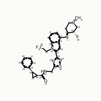 CN1CC/C(=N\c2cccc3c2cc(-c2noc(CNC(=O)[C@H]4C[C@H]4c4ccccc4)n2)n3CC(F)(F)F)[C@@H](F)C1